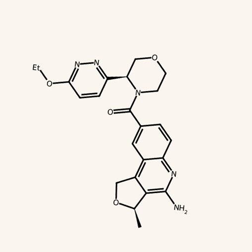 CCOc1ccc([C@H]2COCCN2C(=O)c2ccc3nc(N)c4c(c3c2)CO[C@@H]4C)nn1